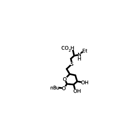 CCCCOC1OC(CSCC(NCC)C(=O)O)CC(O)C1O